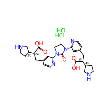 Cl.Cl.O=C(O)[C@@H](Cc1ccnc(N2CCN(c3cc(C[C@H](C(=O)O)[C@H]4CCNC4)ccn3)C2=O)c1)[C@H]1CCNC1